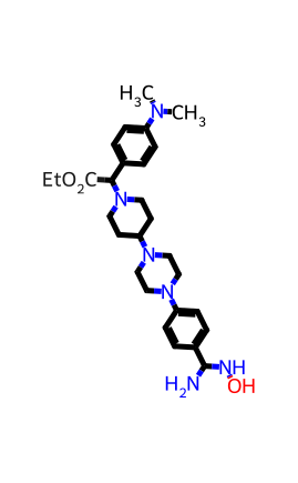 CCOC(=O)C(c1ccc(N(C)C)cc1)N1CCC(N2CCN(c3ccc(C(N)NO)cc3)CC2)CC1